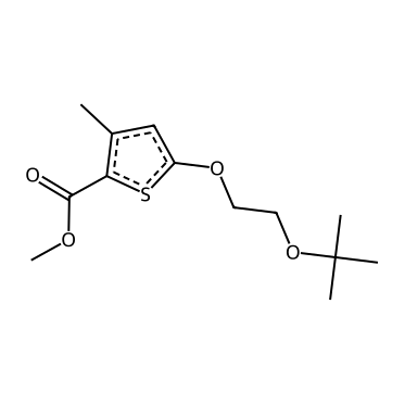 COC(=O)c1sc(OCCOC(C)(C)C)cc1C